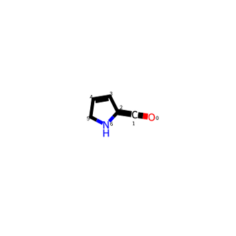 O=C=C1C=CCN1